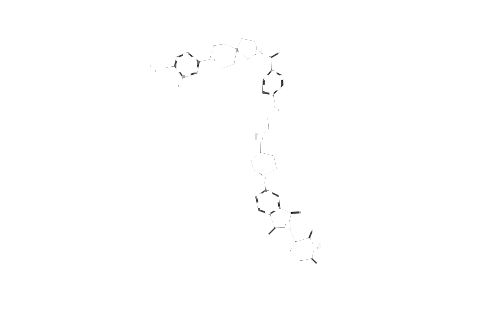 N#Cc1ccc(N2CCC3(CCN(C(=O)c4ccc(NCCNC5CCN(c6ccc7c(c6)C(=O)N(C6CCC(=O)NC6=O)C7=O)CC5)cc4)C3)CC2)cc1Cl